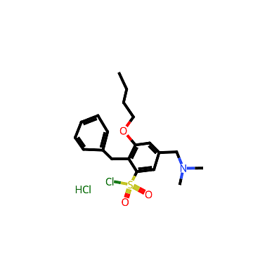 CCCCOc1cc(CN(C)C)cc(S(=O)(=O)Cl)c1Cc1ccccc1.Cl